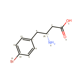 N[C@@H](CC(=O)O)Cc1ccc(Br)cc1